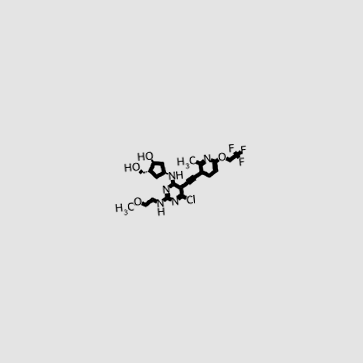 COCCNC1=NC(N[C@@H]2C[C@H](CO)[C@@H](O)C2)C(C#CC2CC=C(OCC(F)(F)F)N=C2C)C(Cl)=N1